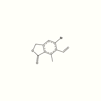 C=Cc1c(Br)cc2c(c1C)C(=O)OC2